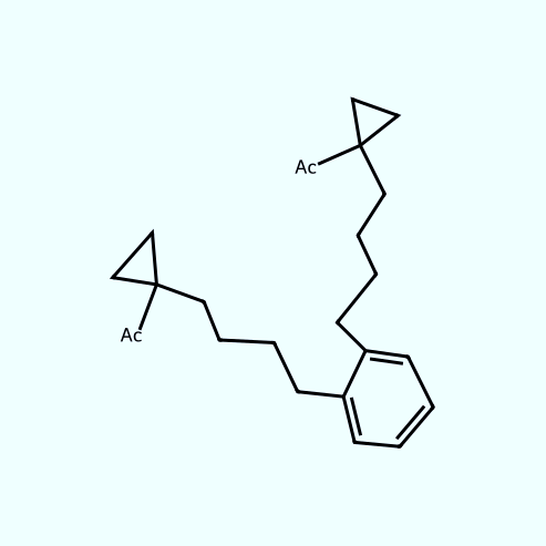 CC(=O)C1(CCCCc2ccccc2CCCCC2(C(C)=O)CC2)CC1